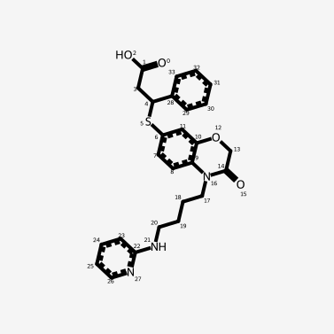 O=C(O)CC(Sc1ccc2c(c1)OCC(=O)N2CCCCNc1ccccn1)c1ccccc1